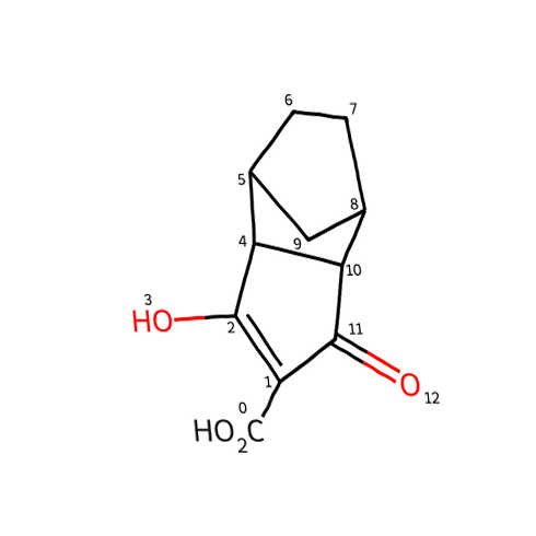 O=C(O)C1=C(O)C2C3CCC(C3)C2C1=O